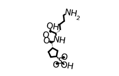 NCCCC[C@H](NC(=O)[C@H]1CC[C@H](S(=O)(=O)O)C1)C(=O)O